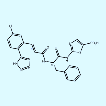 O=C(/C=C/c1cc(Cl)ccc1-c1nnn[nH]1)N[C@@H](Cc1ccccc1)C(=O)Nc1ncc(C(=O)O)s1